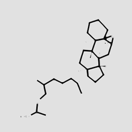 CCCCCCC(C)OCC(C)CCCC(C)[C@H]1CC[C@H]2[C@@H]3C[C@@H]4OC45CCCC[C@]5(C)[C@H]3CC[C@]12C